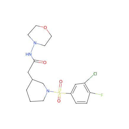 O=C(CC1CCCN(S(=O)(=O)c2ccc(F)c(Cl)c2)C1)NN1CCOCC1